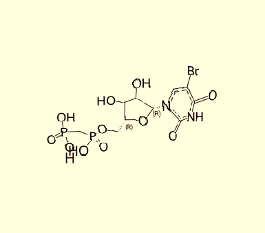 O=c1[nH]c(=O)n([C@@H]2O[C@H](COP(=O)(O)CP(=O)(O)O)C(O)C2O)cc1Br